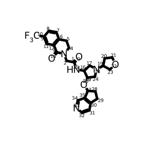 O=C(CN1CCc2ccc(C(F)(F)F)cc2C1=O)NC1CN(C2CCOC2)C[C@@H]1OC1CCc2ccncc21